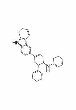 C1=CCCC(NC2CC=C(c3ccc4[nH]c5c(c4c3)C=CCC5)CC2C2=CCCC=C2)=C1